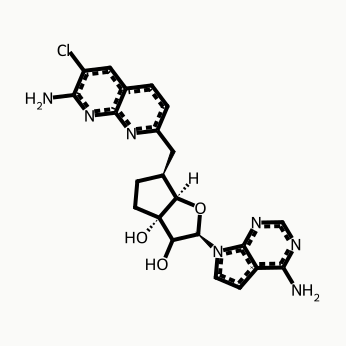 Nc1nc2nc(C[C@@H]3CC[C@]4(O)C(O)[C@H](n5ccc6c(N)ncnc65)O[C@H]34)ccc2cc1Cl